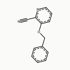 N#Cc1ncccc1OCc1ccccc1